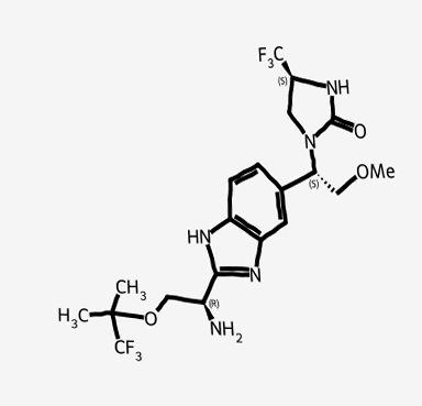 COC[C@H](c1ccc2[nH]c([C@@H](N)COC(C)(C)C(F)(F)F)nc2c1)N1C[C@@H](C(F)(F)F)NC1=O